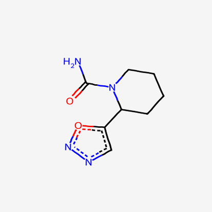 NC(=O)N1CCCCC1c1cnno1